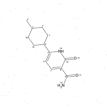 CC1CCC(c2ccc(C(N)=O)c(=O)[nH]2)CC1